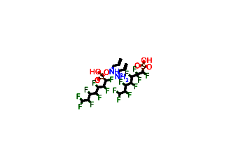 C=CCN.C=CCN.O=S(=O)(O)C(F)C(F)(F)C(F)C(F)C(F)C(F)C(F)F.O=S(=O)(O)C(F)C(F)C(F)C(F)C(F)C(F)C(F)F